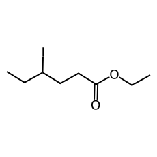 CCOC(=O)CCC(I)CC